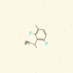 Cc1ccc(F)c(C(C)C(C)C)c1F